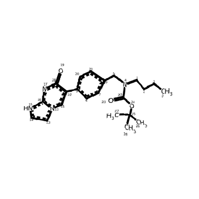 CCCCN(Cc1ccc(-c2cn3cc[nH]c3nc2=O)cc1)C(=O)OC(C)(C)C